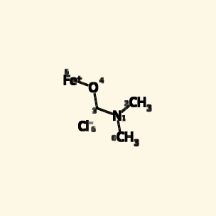 CN(C)C[O][Fe+].[Cl-]